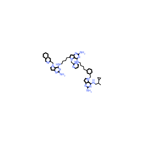 CC(CNc1nc(N)nc2ccn(Cc3cccc(CCCCNc4nc(N)nc5cc(CCCCNc6nc(N)nc7ccn(Cc8cc9ccccc9cn8)c67)n(Cc6ncccn6)c45)c3)c12)C1CC1